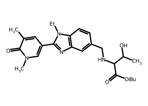 CCn1c(-c2cc(C)c(=O)n(C)c2)nc2cc(CNC(C(=O)OCC(C)C)C(C)O)ccc21